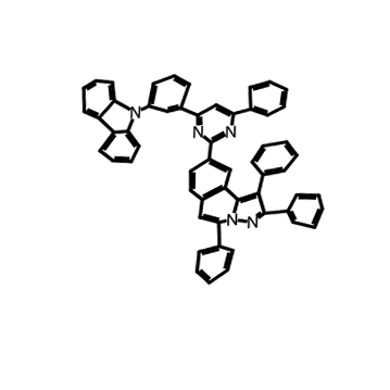 c1ccc(-c2cc(-c3cccc(-n4c5ccccc5c5ccccc54)c3)nc(-c3ccc4cc(-c5ccccc5)n5nc(-c6ccccc6)c(-c6ccccc6)c5c4c3)n2)cc1